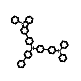 c1ccc(-c2ccc(N(c3ccc(-c4ccc(N(c5ccccc5)c5ccccc5)cc4)cc3)c3ccc(-c4ccc5c(c4)c4ccccc4n5-c4ccccc4)cc3)cc2)cc1